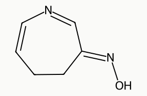 ON=C1C=NC=CCC1